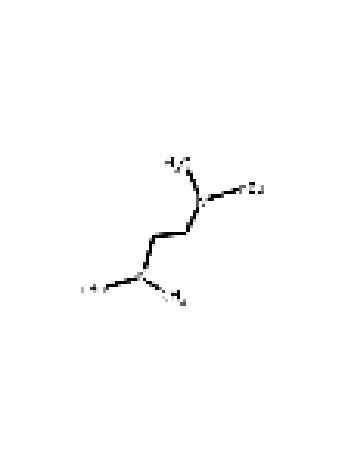 CCCCN(C)CCN(C)CCCC